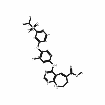 COC(=O)C1=Cc2c(ncnc2Nc2ccc(Oc3cccc(S(=O)(=O)C(C)C)c3)c(Cl)c2)NCC1